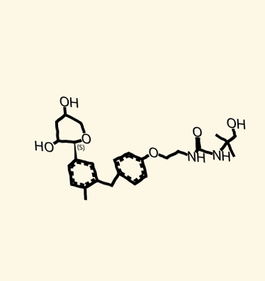 Cc1ccc([C@@H]2OCC(O)CC2O)cc1Cc1ccc(OCCNC(=O)NC(C)(C)CO)cc1